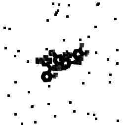 N#Cc1cnc2c(N[C@H](c3c[nH]nn3)c3ccccc3F)cc(Cl)cc2c1Nc1cnc(F)c(F)c1